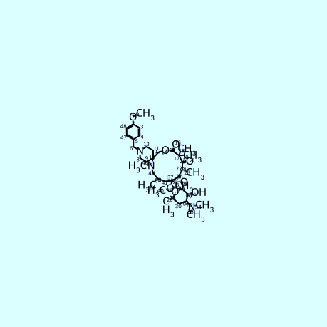 COc1ccc(CN2CCC3(CC2)COC(=O)C(C)(C)C(=O)[C@H](C)[C@@H](O[C@@H]2O[C@H](C)C[C@H](N(C)C)[C@H]2O)[C@](C)(OC)C[C@@H](C)CN3C)cc1